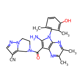 Cc1ccc(O)c(C)c1-n1c(N)c(C(=O)N2CCn3ncc(C#N)c3C2)c2nc(C)c(C)nc21